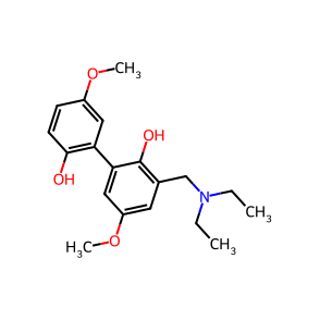 CCN(CC)Cc1cc(OC)cc(-c2cc(OC)ccc2O)c1O